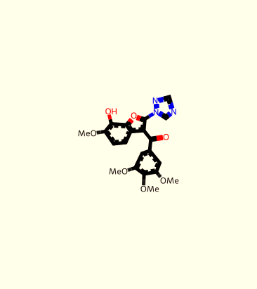 COc1cc(C(=O)c2c(-n3cncn3)oc3c(O)c(OC)ccc23)cc(OC)c1OC